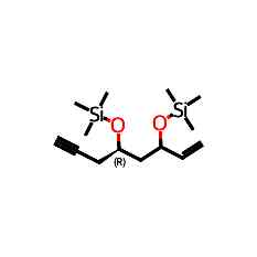 C#CC[C@H](CC(C=C)O[Si](C)(C)C)O[Si](C)(C)C